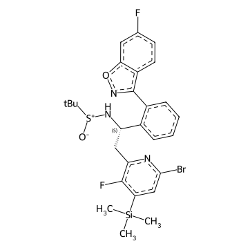 CC(C)(C)[S+]([O-])N[C@@H](Cc1nc(Br)cc([Si](C)(C)C)c1F)c1ccccc1-c1noc2cc(F)ccc12